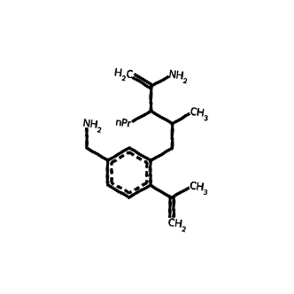 C=C(C)c1ccc(CN)cc1CC(C)C(CCC)C(=C)N